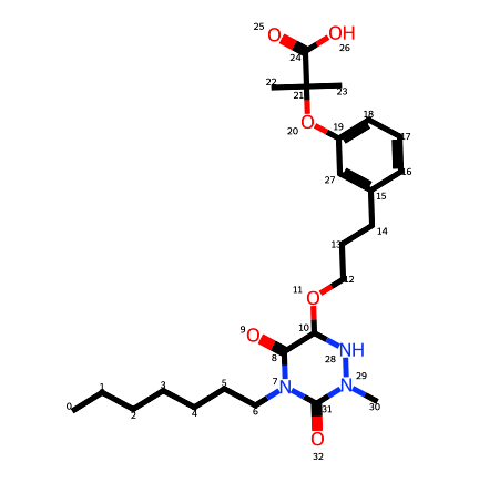 CCCCCCCN1C(=O)C(OCCCc2cccc(OC(C)(C)C(=O)O)c2)NN(C)C1=O